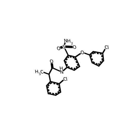 CC(C(=O)Nc1ccc(Oc2cccc(Cl)c2)c(S(N)(=O)=O)c1)c1ccccc1Cl